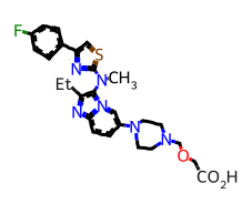 CCc1nc2ccc(N3CCN(COCC(=O)O)CC3)cn2c1N(C)c1nc(-c2ccc(F)cc2)cs1